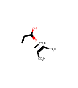 CC(=O)O.CCC(=O)O.O=C(O)/C=C\C(=O)O